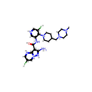 CN1CCN(CC2CCN(c3c(F)cncc3NC(=O)c3c(N)nn4cc(F)cnc34)CC2)CC1